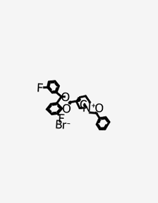 O=C(C[N+]12CCC(CC1)C(C(=O)OC(c1cccc(F)c1)c1cccc(F)c1)C2)c1ccccc1.[Br-]